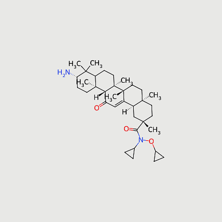 CC1(C)C2CC[C@]3(C)[C@H](C(=O)C=C4[C@@H]5C[C@@](C)(C(=O)N(OC6CC6)C6CC6)CC[C@]5(C)CC[C@]43C)[C@@]2(C)CC[C@@H]1N